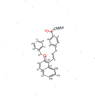 COC(=O)c1ccc(CC=Cc2c(OCc3ccccc3)ccc3ccccc23)cc1